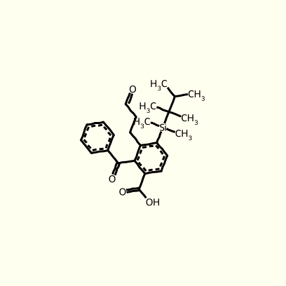 CC(C)C(C)(C)[Si](C)(C)c1ccc(C(=O)O)c(C(=O)c2ccccc2)c1CCC=O